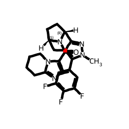 Cn1nc2c(c1-c1cc(F)c(F)c(F)c1)C[C@@H]1CC[C@H]2N1C(=O)c1cnc2n1CCCC2